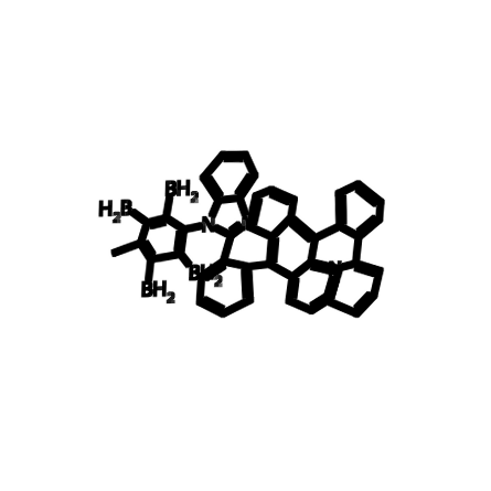 Bc1c(B)c(-n2c(-c3ccccc3-c3c4ccccc4c(-c4ccccc4-c4ccccn4)c4ccccc34)nc3ccccc32)c(B)c(B)c1C